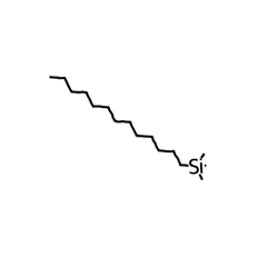 CCCCCCCCCCCCC[Si](C)C